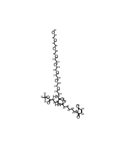 COCCOCCOCCOCCOCCOCCOCCOCCNC(=O)[C@H](CCC(=O)OC(C)(C)C)NC(=O)CCCCCN1C(=O)C=CC1=O